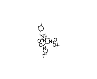 Cc1ccc(Cn2nc3n(c2=O)C(C(=O)N2CC[C@H](F)C2)CN(C(=O)OC(C)(C)C)C3)cc1